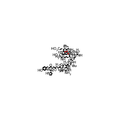 CC[C@H](C)[C@H](NC(=O)[C@H](CCCNC(=N)N)NC(=O)[C@H](CCCNC(=N)N)NC(=O)[C@@H](NC(=O)[C@@H](NC(=O)[C@H](CCCNC(=N)N)NC(=O)[C@H](CS)NC(=O)CNC(=O)[C@H](Cc1ccc(O)cc1)NC(=O)[C@@H]1CCCN1)C(C)C)[C@@H](C)CC)C(=O)N[C@@H](CC(C)C)C(=O)N[C@@H](CCC(=O)O)C(=O)N[C@@H](Cc1c[nH]cn1)C(=O)O